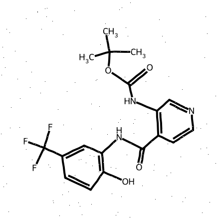 CC(C)(C)OC(=O)Nc1cnccc1C(=O)Nc1cc(C(F)(F)F)ccc1O